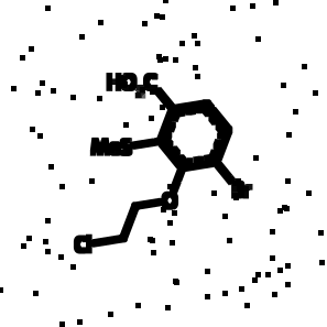 CSc1c(C(=O)O)ccc(Br)c1OCCCl